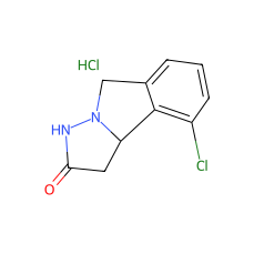 Cl.O=C1CC2c3c(Cl)cccc3CN2N1